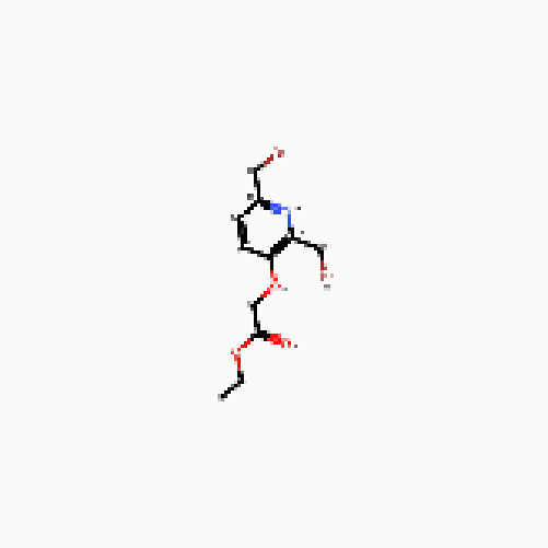 CCOC(=O)COc1ccc(CBr)nc1CBr